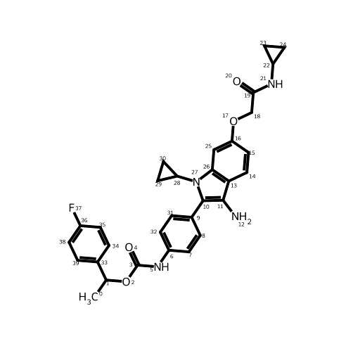 CC(OC(=O)Nc1ccc(-c2c(N)c3ccc(OCC(=O)NC4CC4)cc3n2C2CC2)cc1)c1ccc(F)cc1